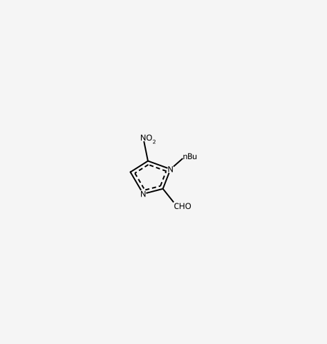 CCCCn1c([N+](=O)[O-])cnc1C=O